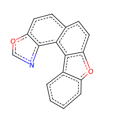 c1ccc2c(c1)oc1ccc3ccc4ocnc4c3c12